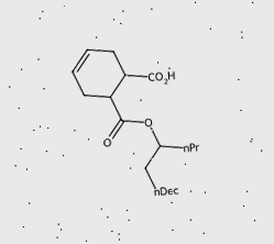 CCCCCCCCCCCC(CCC)OC(=O)C1CC=CCC1C(=O)O